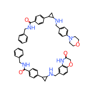 O=C(NCc1ccccc1)c1ccc(C2CC2NCc2ccc(N3CCOCC3)cc2)cc1.O=C1COc2ccc(CNC3CC3c3ccc(C(=O)NCc4ccccc4)cc3)cc2N1